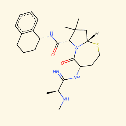 CN[C@@H](C)C(=N)N[C@H]1CCS[C@H]2CC(C)(C)[C@@H](C(=O)N[C@@H]3CCCc4ccccc43)N2C1=O